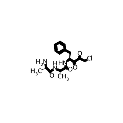 C[C@H](N)C(=O)N[C@@H](C)C(=O)N[C@@H](Cc1ccccc1)C(=O)C(=O)CCl